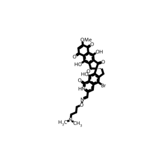 COC1=CC(=O)c2c(O)c3c(c(O)c2C1=O)C(=O)[C@]1(CCc2c1c(O)c1c(=O)[nH]c(C=NOCCCN(C)C)cc1c2Br)C3=O